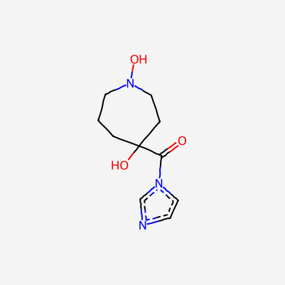 O=C(n1ccnc1)C1(O)CCCN(O)CC1